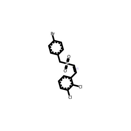 O=S(=O)(/C=C\c1cccc(Cl)c1Cl)Cc1ccc(Br)cc1